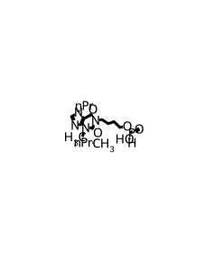 CCCC.CCCn1cnc2c1c(=O)n(CCCCO[PH](=O)O)c(=O)n2C